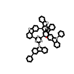 c1ccc(-c2ccc3c(c2)c2ccccc2n3-c2nc(-c3ccc4c(c3)oc3ccccc34)nc(-c3cccc4oc5ccc(-c6cc(-c7ccc8c9ccccc9n(-c9ccccc9)c8c7)cc7oc8ccccc8c67)cc5c34)n2)cc1